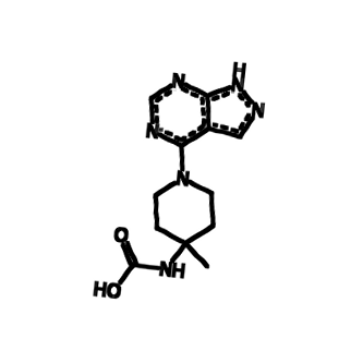 CC1(NC(=O)O)CCN(c2ncnc3[nH]ncc23)CC1